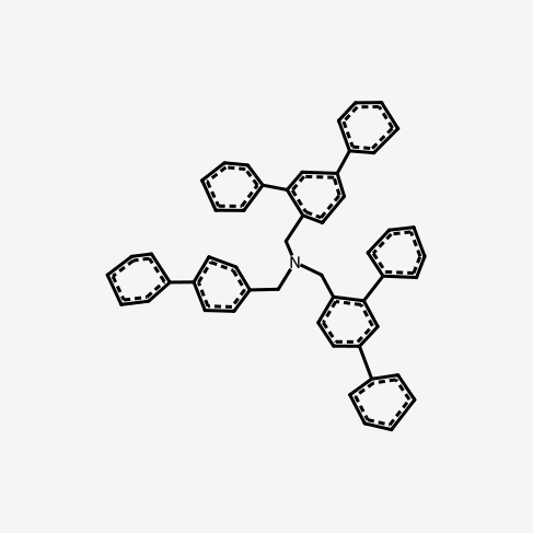 c1ccc(-c2ccc(CN(Cc3ccc(-c4ccccc4)cc3-c3ccccc3)Cc3ccc(-c4ccccc4)cc3-c3ccccc3)cc2)cc1